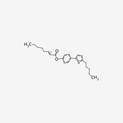 CCCCC/C=C/C(=O)Oc1ccc(-c2ccc(CCCCC)s2)cc1